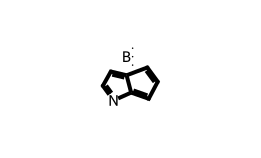 C1=CC2=CC=NC2=C1.[B]